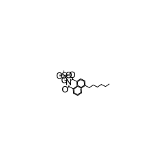 CCCCCCc1ccc2c3c(cccc13)C(=O)N(OS(C)(=O)=O)C2=O